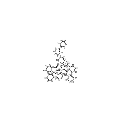 c1ccc(-c2cccc(-c3ccc4c(c3)oc3c5ccccc5c(N(c5ccccc5)c5ccc6c(c5)C5(c7ccccc7-c7ccccc75)c5ccccc5-6)cc43)c2)cc1